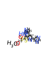 COCC[S+]([O-])c1sc2nc(-c3cncnc3)cc3c2c1[nH]n1nccc31